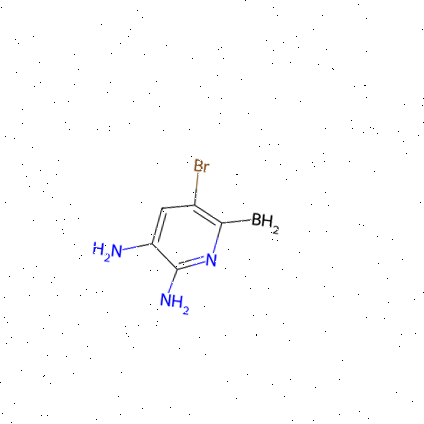 Bc1nc(N)c(N)cc1Br